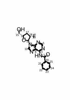 O=C(Nc1ncnc2c1ncn2[C@@H]1O[C@H](CO)C[C@@H]1F)c1ccccc1